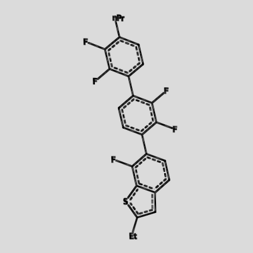 CCCc1ccc(-c2ccc(-c3ccc4cc(CC)sc4c3F)c(F)c2F)c(F)c1F